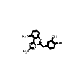 COc1cccc2nc(Cc3ccc(O)c(O)c3)n3nc(N)nc3c12